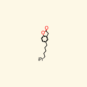 CC(C)CCCCCc1ccc2c(c1)CC(=O)O2